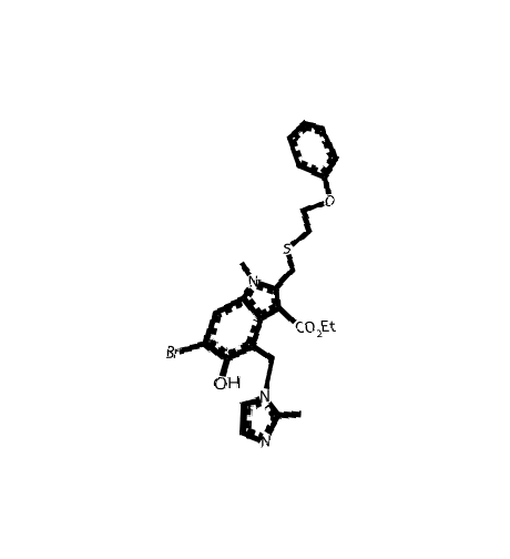 CCOC(=O)c1c(CSCCOc2ccccc2)n(C)c2cc(Br)c(O)c(Cn3ccnc3C)c12